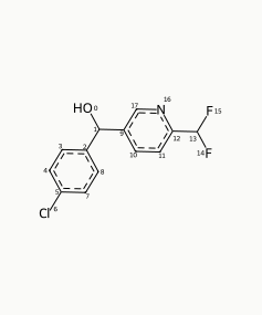 OC(c1ccc(Cl)cc1)c1ccc(C(F)F)nc1